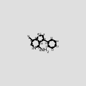 Nc1ncc(I)c2scc(-c3ccccc3)c12